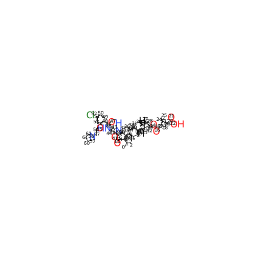 CC(C)C1=C2[C@H]3CC[C@@H]4[C@@]5(C)CC[C@H](OC(=O)[C@H]6C[C@@H](C(=O)O)C6(C)C)C(C)(C)[C@@H]5CC[C@@]4(C)[C@]3(C)CC[C@@]2(NC(=O)C(C)(C)NC(=O)c2ccc(Cl)cc2OCCN2CCCC2)CC1=O